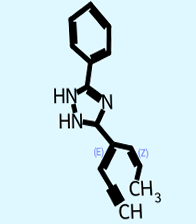 C#C/C=C(\C=C/C)C1N=C(c2ccccc2)NN1